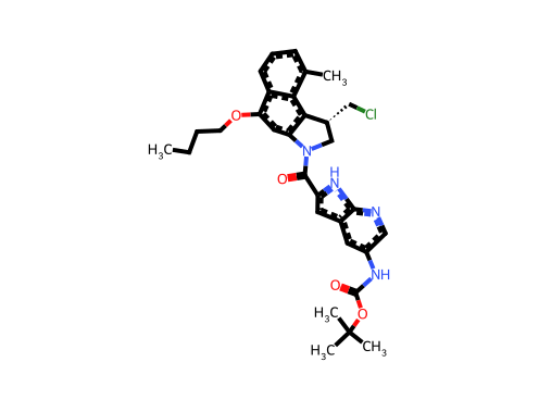 CCCCOc1cc2c(c3c(C)cccc13)[C@H](CCl)CN2C(=O)c1cc2cc(NC(=O)OC(C)(C)C)cnc2[nH]1